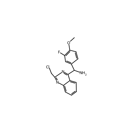 COc1ccc(C(N)c2nc(CCl)nc3ccccc23)cc1F